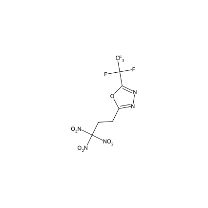 O=[N+]([O-])C(CCc1nnc(C(F)(F)C(F)(F)F)o1)([N+](=O)[O-])[N+](=O)[O-]